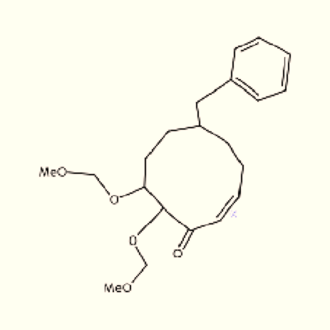 COCOC1CCC(Cc2ccccc2)CC/C=C\C(=O)C1OCOC